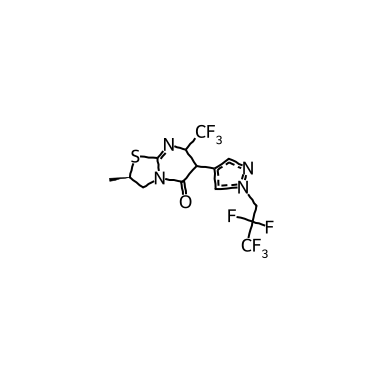 C[C@@H]1CN2C(=O)C(c3cnn(CC(F)(F)C(F)(F)F)c3)C(C(F)(F)F)N=C2S1